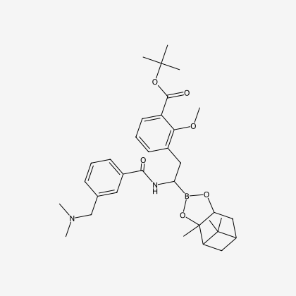 COc1c(CC(NC(=O)c2cccc(CN(C)C)c2)B2OC3CC4CC(C4(C)C)C3(C)O2)cccc1C(=O)OC(C)(C)C